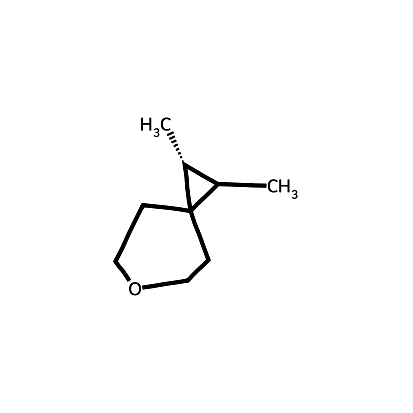 CC1[C@@H](C)C12CCOCC2